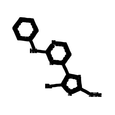 CCC(C)c1nc(NC(C)=O)sc1-c1ccnc(Nc2ccccc2)n1